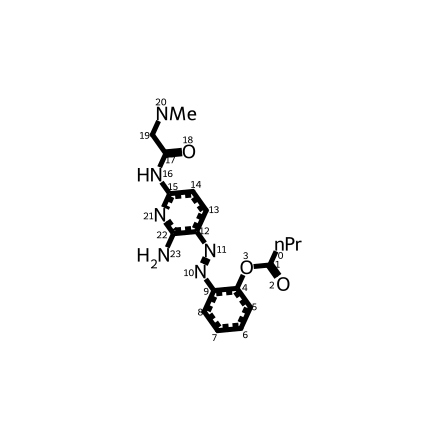 CCCC(=O)Oc1ccccc1/N=N/c1ccc(NC(=O)CNC)nc1N